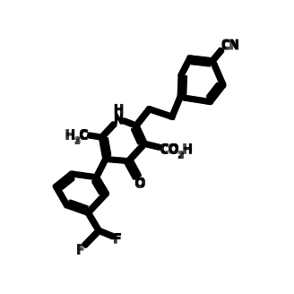 Cc1[nH]c(CCc2ccc(C#N)cc2)c(C(=O)O)c(=O)c1-c1cccc(C(F)F)c1